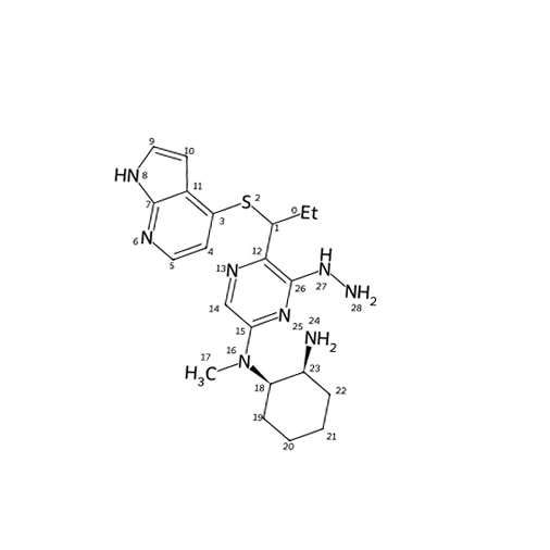 CCC(Sc1ccnc2[nH]ccc12)c1ncc(N(C)[C@@H]2CCCC[C@@H]2N)nc1NN